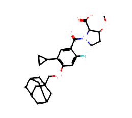 COC1CCN(C(=O)c2cc(C3CC3)c(OCC34CC5CC(CC(C5)C3)C4)cc2F)C1C(=O)O